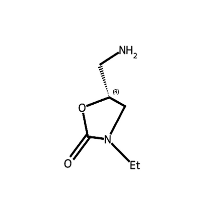 CCN1C[C@@H](CN)OC1=O